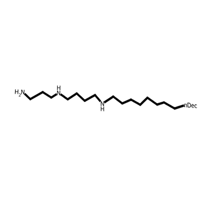 CCCCCCCCCCCCCCCCCCNCCCCNCCCN